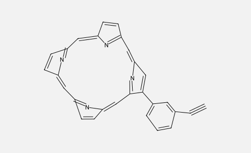 C#Cc1cccc(C2=CC3=CC4=NC(=CC5=NC(=CC6=NC(=CC2=N3)C=C6)C=C5)C=C4)c1